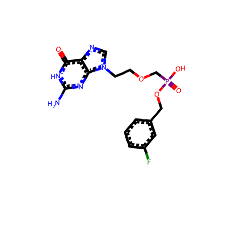 Nc1nc2c(ncn2CCOCP(=O)(O)OCc2cccc(F)c2)c(=O)[nH]1